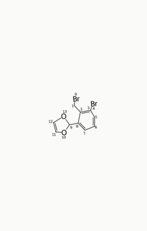 BrCc1c(Br)cccc1C1OC=CO1